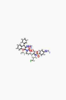 CCC[C@@H](CCC[C@@H](CO)N(CCCF)S(=O)(=O)c1ccc(N)cc1)N(C(=O)OC)C(=O)[C@@H](N)C(c1ccccc1)c1ccccc1